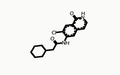 O=C(CC1CCCCC1)Nc1cc2cc[nH]c(=O)c2cc1Cl